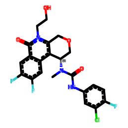 CN(C(=O)Nc1ccc(F)c(Cl)c1)[C@H]1COCc2c1c1cc(F)c(F)cc1c(=O)n2CCO